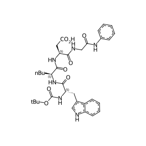 CCCC[C@H](NC(=O)[C@H](Cc1c[nH]c2ccccc12)NC(=O)OC(C)(C)C)C(=O)N[C@@H](CC(=O)O)C(=O)NCC(=O)Nc1ccccc1